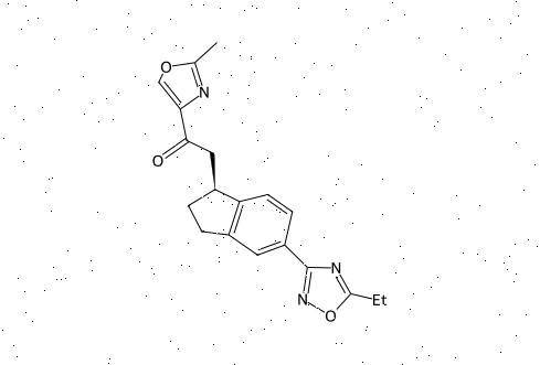 CCc1nc(-c2ccc3c(c2)CC[C@H]3CC(=O)c2coc(C)n2)no1